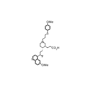 COc1ccc(SCCCN2CC[C@@H](CC[C@@H](F)c3ccnc4ccc(OC)cc34)[C@H](CCC(=O)O)C2)cc1